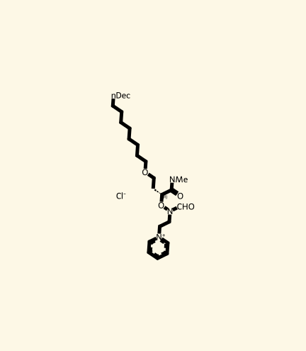 CCCCCCCCCCCCCCCCCCOCC[C@@H](ON(C=O)CC[n+]1ccccc1)C(=O)NC.[Cl-]